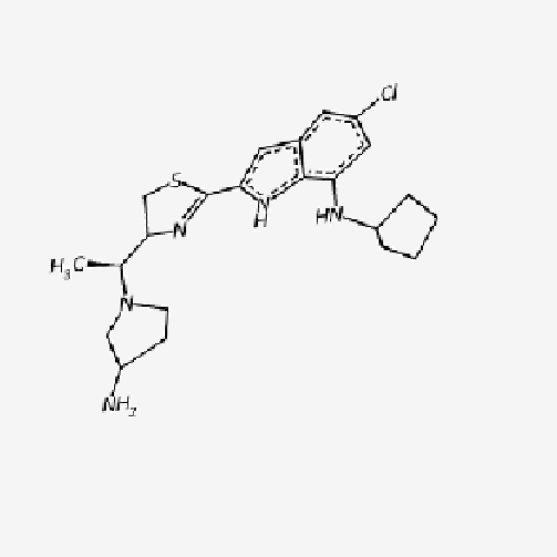 C[C@@H](C1CSC(c2cc3cc(Cl)cc(NC4CCCC4)c3[nH]2)=N1)N1CCC(N)C1